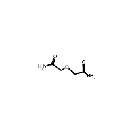 NC(=O)COCC(N)=O